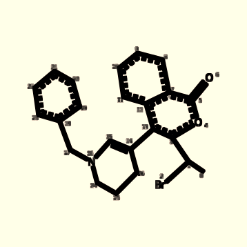 CC(Br)c1oc(=O)c2ccccc2c1C1=CN(Cc2ccccc2)CCC1